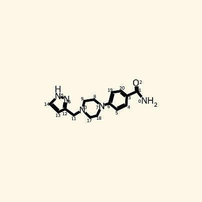 NC(=O)c1ccc(N2CCN(Cc3cc[nH]n3)CC2)cc1